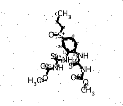 CCC[S+]([O-])c1ccc(NC(=S)NC(=O)OC)c(NC(=S)NC(=O)OC)c1